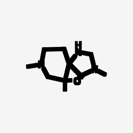 CN1CCC2(NCN(C)C2=O)C(C)(C)C1